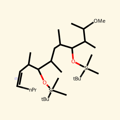 CCC/C=C\C(C)C(O[Si](C)(C)C(C)(C)C)C(C)CC(C)C(O[Si](C)(C)C(C)(C)C)C(C)C(C)OC